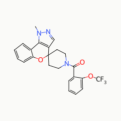 Cn1ncc2c1-c1ccccc1OC21CCN(C(=O)c2ccccc2OC(F)(F)F)CC1